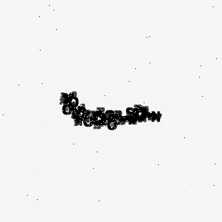 CC(C)(C)OC(=O)N1CCC(Oc2ccc(OC(=O)CCc3cc4cc(C#N)ccc4s3)cc2)CC1